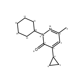 Cc1cc(C2CC2)c(=O)n(C2CCCCC2)n1